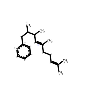 CC(C)=CCC/C(C)=C/C(C)C(C)Cc1ccccn1